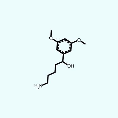 COc1cc(OC)cc(C(O)CCCCN)c1